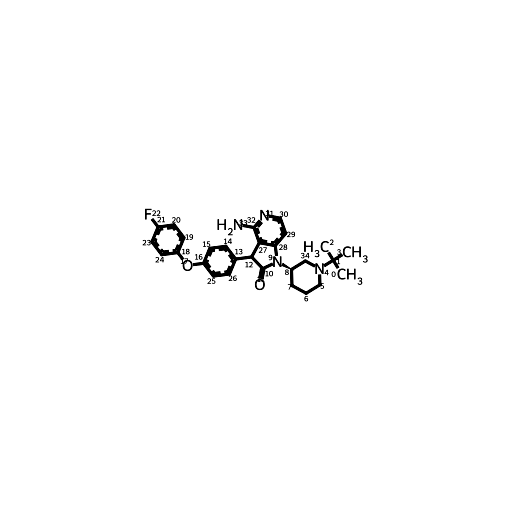 CC(C)(C)N1CCC[C@@H](N2C(=O)C(c3ccc(Oc4ccc(F)cc4)cc3)c3c2ccnc3N)C1